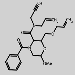 C#CCN(CC=C)C(=O)C1C(COCC=C)OC(OC)CN1C(=O)c1ccccc1